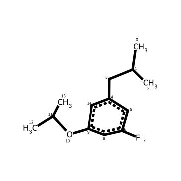 CC(C)Cc1cc(F)cc(OC(C)C)c1